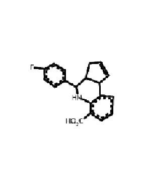 O=C(O)c1cccc2c1NC(c1ccc(F)cc1)C1CC=CC21